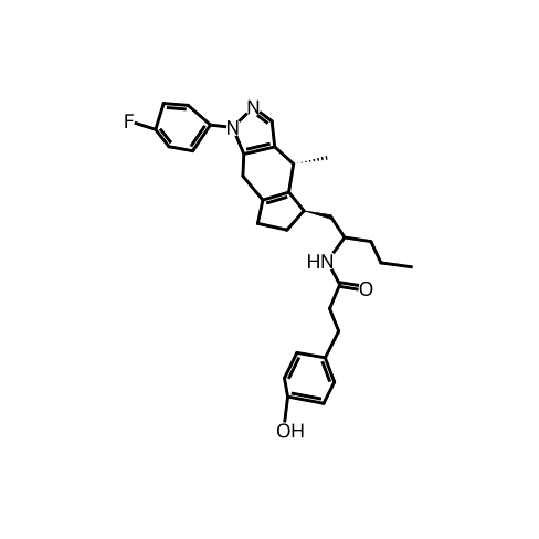 CCCC(C[C@H]1CCC2=C1[C@@H](C)c1cnn(-c3ccc(F)cc3)c1C2)NC(=O)CCc1ccc(O)cc1